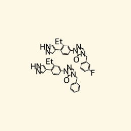 CCc1cc(-n2ncn(Cc3cccc(F)c3)c2=O)ccc1-c1cn[nH]c1.CCc1cc(-n2ncn(Cc3ccccc3)c2=O)ccc1-c1cn[nH]c1